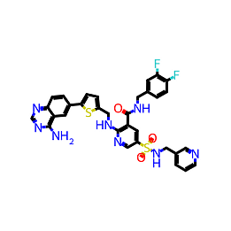 Nc1ncnc2ccc(-c3ccc(CNc4ncc(S(=O)(=O)NCc5cccnc5)cc4C(=O)NCc4ccc(F)c(F)c4)s3)cc12